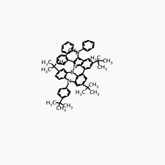 Cc1ccccc1-c1c(N(c2ccccc2)c2ccccc2)c2cc(C(C)(C)C)cc3c2n1B1c2cc(C(C)(C)C)ccc2N(c2ccc(C(C)(C)C)cc2)c2cc(C(C)(C)C)cc-3c21